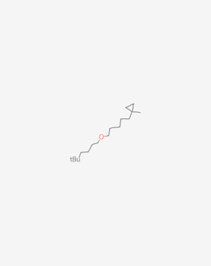 CC(C)(C)CCCCOCCCCCC1(C)CC1